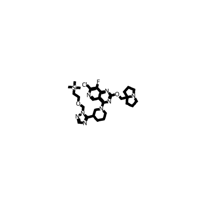 C[Si](C)(C)CCOCn1ncnc1C1CCCN(c2nc(OCC34CCCN3CCC4)nc3c(F)c(Cl)ncc23)C1